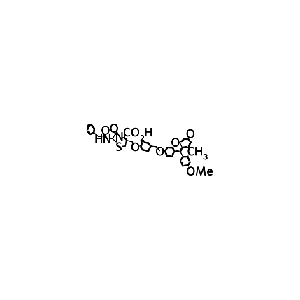 COc1ccc(-c2c3ccc(=O)cc-3oc3cc(OCc4ccc(OCC5=C(C(=O)O)N6C(=O)C(NC(=O)Cc7ccccc7)C6SC5)cc4)ccc23)c(C)c1